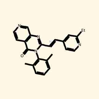 CCc1cc(/C=C/c2nc3cnccc3c(=O)n2-c2c(C)cccc2C)ccn1